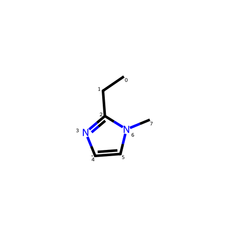 CCc1n[c]cn1C